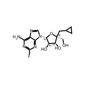 Nc1nc(F)nc2c1ncn2[C@@H]1O[C@@](CO)(CC2CC2)[C@@H](O)[C@H]1O